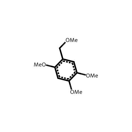 [CH2]OCc1cc(OC)c(OC)cc1OC